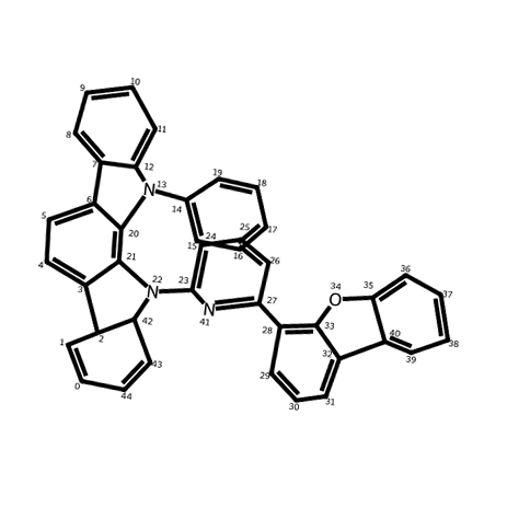 C1=CC2c3ccc4c5ccccc5n(-c5ccccc5)c4c3N(c3cccc(-c4cccc5c4oc4ccccc45)n3)C2C=C1